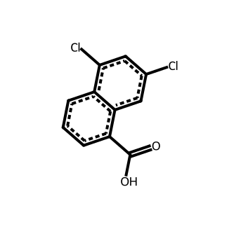 O=C(O)c1cccc2c(Cl)cc(Cl)cc12